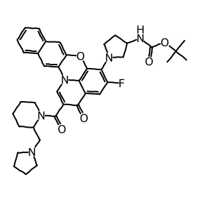 CC(C)(C)OC(=O)NC1CCN(c2c(F)cc3c(=O)c(C(=O)N4CCCCC4CN4CCCC4)cn4c3c2Oc2cc3ccccc3cc2-4)C1